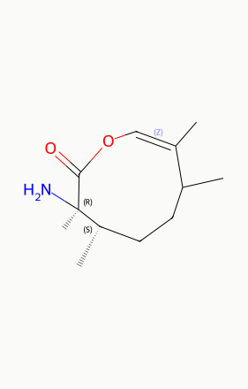 C/C1=C/OC(=O)[C@](C)(N)[C@@H](C)CCC1C